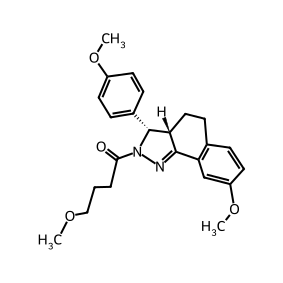 COCCCC(=O)N1N=C2c3cc(OC)ccc3CC[C@H]2[C@H]1c1ccc(OC)cc1